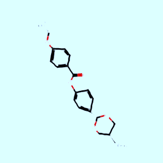 CCCCCCCCC[C@H]1CO[C@H](c2ccc(OC(=O)c3ccc(OC[C@@H](C)CC)cc3)cc2)OC1